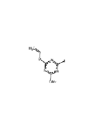 C=COc1nc(I)nc(OC)n1